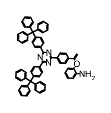 C=C(Oc1ccccc1N)c1ccc(-c2nc(-c3ccc(C(c4ccccc4)(c4ccccc4)c4ccccc4)cc3)nc(-c3ccc(C(c4ccccc4)(c4ccccc4)c4ccccc4)cc3)n2)cc1